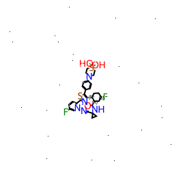 N#CC1(NC(=O)[C@@H]2C[C@@H](F)CC[C@H]2c2nc(-c3ccc(F)cn3)sc2-c2ccc(N3CCS(O)(O)CC3)cc2)CC1